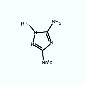 CNc1nc(N)n(C)n1